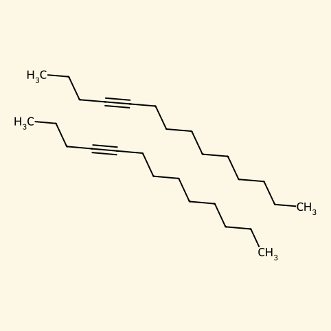 CCCC#CCCCCCCCC.CCCC#CCCCCCCCCC